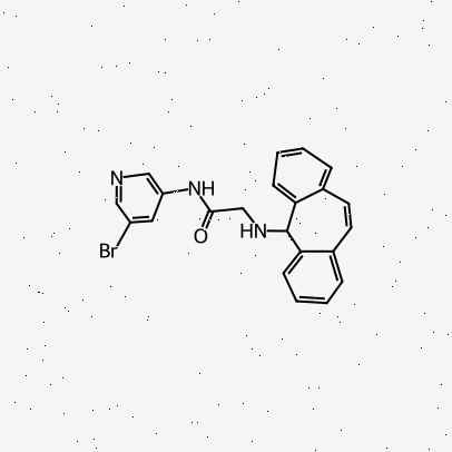 O=C(CNC1c2ccccc2C=Cc2ccccc21)Nc1cncc(Br)c1